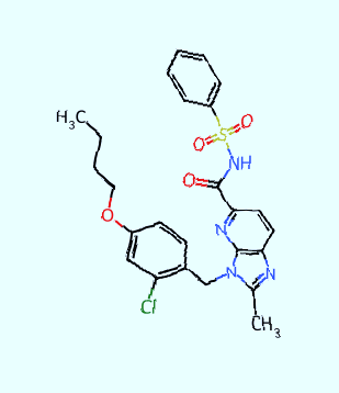 CCCCOc1ccc(Cn2c(C)nc3ccc(C(=O)NS(=O)(=O)c4ccccc4)nc32)c(Cl)c1